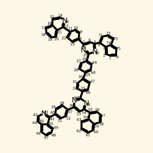 c1ccc2c(-c3cc(-c4ccc(-c5nccc6ccccc56)cc4)nc(-c4ccc(-c5ccc(-c6nc(-c7ccc(-c8nccc9ccccc89)cc7)cc(-c7cccc8ccccc78)n6)cc5)cc4)n3)cccc2c1